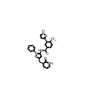 O=C(Nc1cc(Cc2ccc[nH]c2=O)nn1-c1ccccc1)c1ccc(C(F)(F)F)c(-c2cc[nH]n2)c1